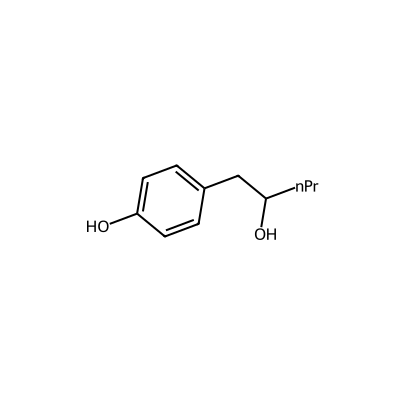 [CH2]CCC(O)Cc1ccc(O)cc1